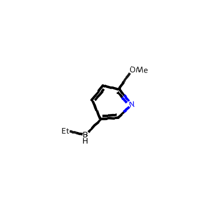 CCBc1ccc(OC)nc1